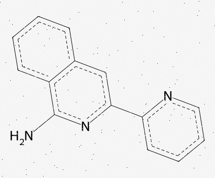 Nc1nc(-c2ccccn2)cc2ccccc12